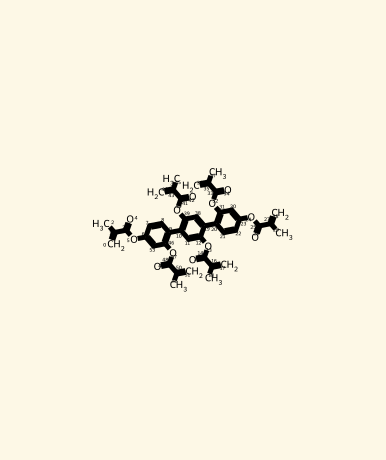 C=C(C)C(=O)Oc1ccc(-c2cc(OC(=O)C(=C)C)c(-c3ccc(OC(=O)C(=C)C)cc3OC(=O)C(=C)C)cc2OC(=O)C(=C)C)c(OC(=O)C(=C)C)c1